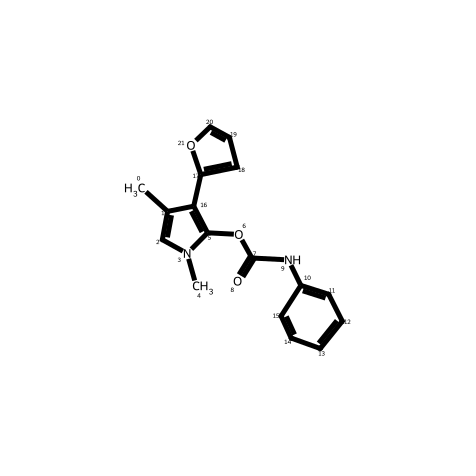 Cc1cn(C)c(OC(=O)Nc2ccccc2)c1-c1ccco1